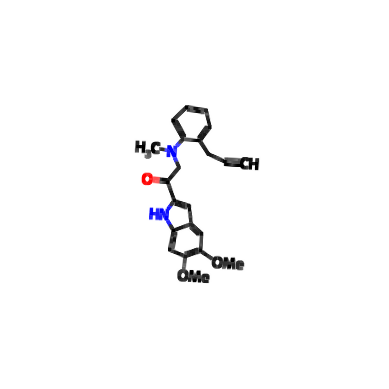 C#CCc1ccccc1N(C)CC(=O)c1cc2cc(OC)c(OC)cc2[nH]1